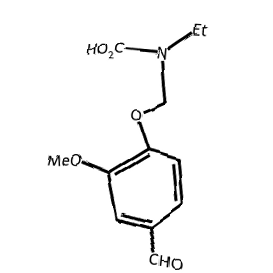 CCN(COc1ccc(C=O)cc1OC)C(=O)O